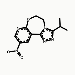 CC(C)c1nnc2n1CCOc1ncc([N+](=O)[O-])cc1-2